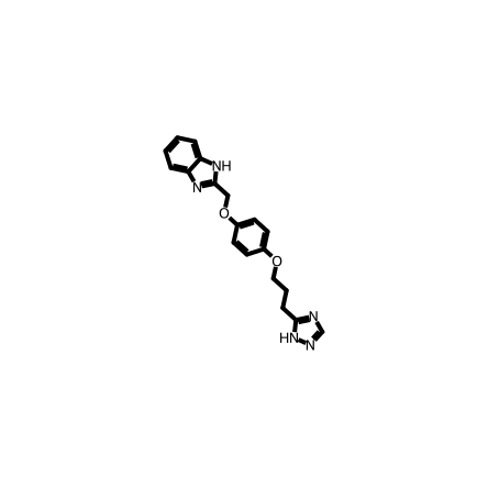 c1ccc2[nH]c(COc3ccc(OCCCc4ncn[nH]4)cc3)nc2c1